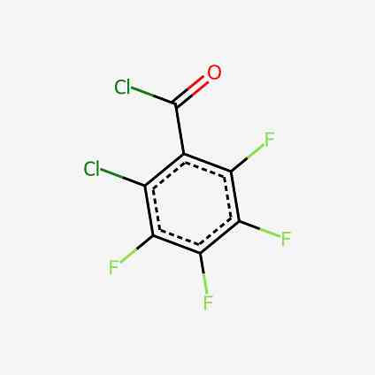 O=C(Cl)c1c(F)c(F)c(F)c(F)c1Cl